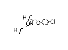 CCCON=C(C)COc1ccc(Cl)cc1